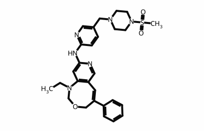 CCN1COC/C(c2ccccc2)=C\c2cnc(Nc3ccc(CN4CCN(S(C)(=O)=O)CC4)cn3)cc21